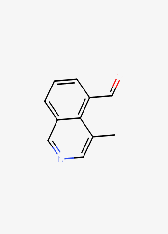 Cc1cncc2cccc(C=O)c12